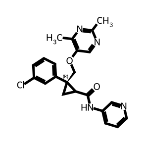 Cc1ncc(OC[C@]2(c3cccc(Cl)c3)CC2C(=O)Nc2cccnc2)c(C)n1